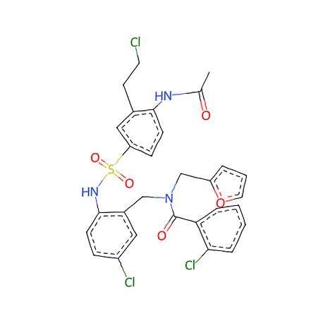 CC(=O)Nc1ccc(S(=O)(=O)Nc2ccc(Cl)cc2CN(Cc2ccco2)C(=O)c2ccccc2Cl)cc1CCCl